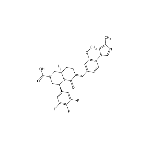 COc1cc(C=C2CC[C@@H]3CN(C(=O)O)C[C@H](c4cc(F)c(F)c(F)c4)N3C2=O)ccc1-n1cnc(C)c1